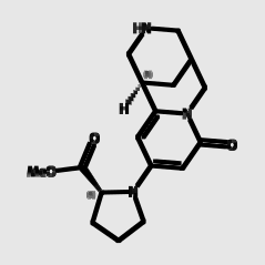 COC(=O)[C@@H]1CCCN1c1cc2n(c(=O)c1)CC1CNC[C@H]2C1